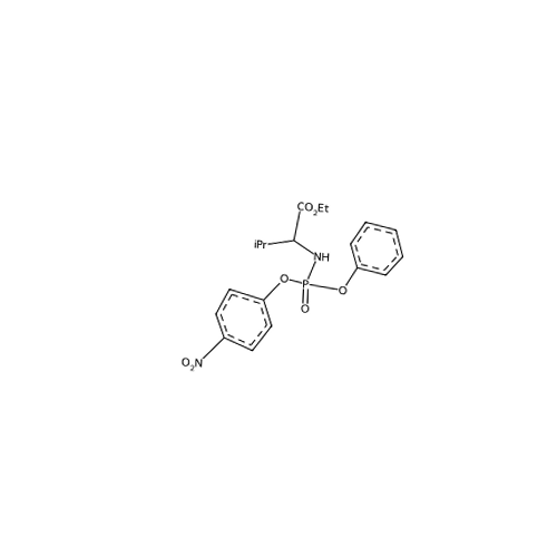 CCOC(=O)C(NP(=O)(Oc1ccccc1)Oc1ccc([N+](=O)[O-])cc1)C(C)C